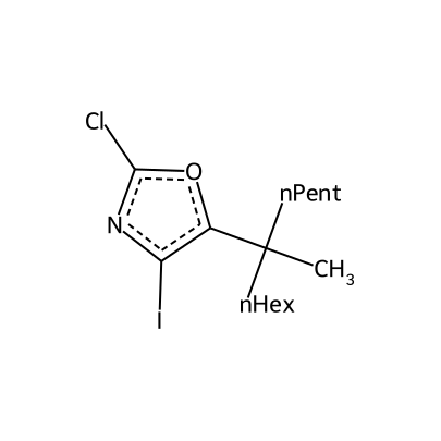 CCCCCCC(C)(CCCCC)c1oc(Cl)nc1I